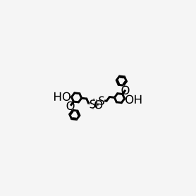 C[Si](C)(CCC1CCC(O)C(Oc2ccccc2)C1)OSCCC1CCC(O)C(Oc2ccccc2)C1